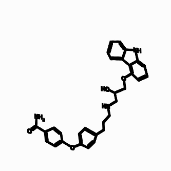 NC(=O)c1ccc(Oc2ccc(CCCNCC(O)COc3cccc4[nH]c5ccccc5c34)cc2)cc1